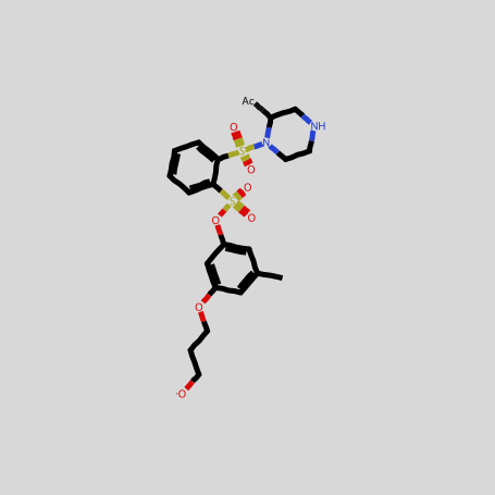 CC(=O)C1CNCCN1S(=O)(=O)c1ccccc1S(=O)(=O)Oc1cc(C)cc(OCCC[O])c1